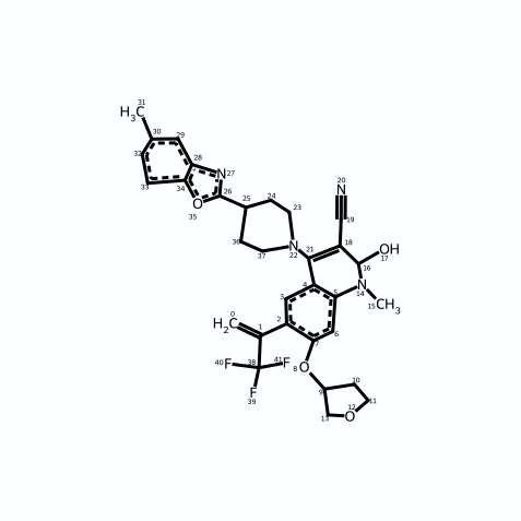 C=C(c1cc2c(cc1OC1CCOC1)N(C)C(O)C(C#N)=C2N1CCC(c2nc3cc(C)ccc3o2)CC1)C(F)(F)F